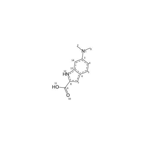 CN(C)c1ccc2cc(C(=O)O)[nH]c2c1